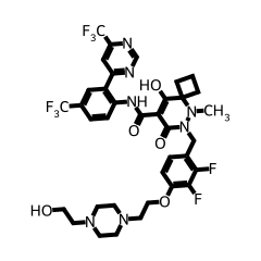 CN1N(Cc2ccc(OCCN3CCN(CCO)CC3)c(F)c2F)C(=O)C(C(=O)Nc2ccc(C(F)(F)F)cc2-c2cc(C(F)(F)F)ncn2)=C(O)C12CCC2